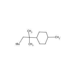 [CH2]C1CCC(C(C)(C)CC(C)(C)C)CC1